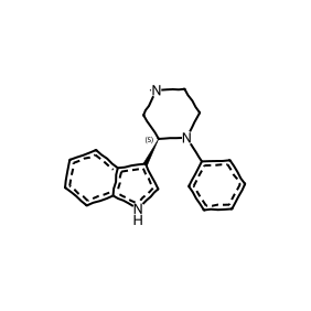 c1ccc(N2CC[N]C[C@@H]2c2c[nH]c3ccccc23)cc1